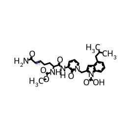 COC(=O)NC(CC/C=C/C(N)=O)C(=O)Nc1cccn(Cc2cc3c(CC(C)C)cccc3n2C(=O)O)c1=O